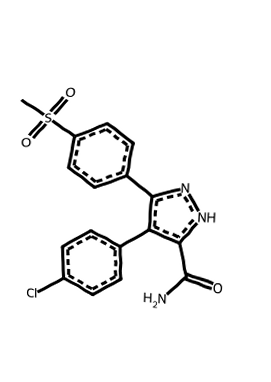 CS(=O)(=O)c1ccc(-c2n[nH]c(C(N)=O)c2-c2ccc(Cl)cc2)cc1